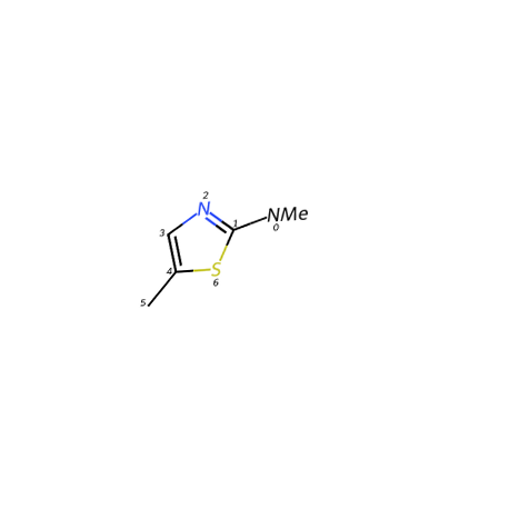 [CH]Nc1ncc(C)s1